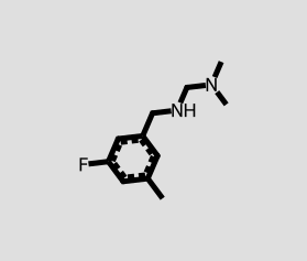 Cc1cc(F)cc(CNCN(C)C)c1